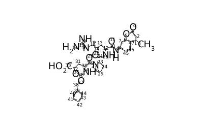 Cc1cc(=O)oc2cc(NC(=O)[C@H](CCCN=C(N)N)NC(=O)[C@@H]3CCCN3C(=O)[C@H](CCC(=O)O)NC(=O)OCc3ccccc3)ccc12